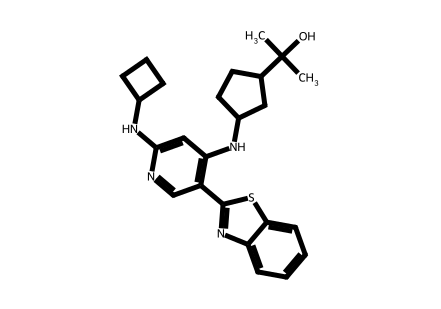 CC(C)(O)C1CCC(Nc2cc(NC3CCC3)ncc2-c2nc3ccccc3s2)C1